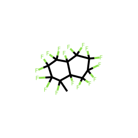 CC1(F)C(F)(F)C(F)(F)C(F)(F)C2(F)C(F)(F)C(F)(F)C(F)(F)C(F)(F)C12F